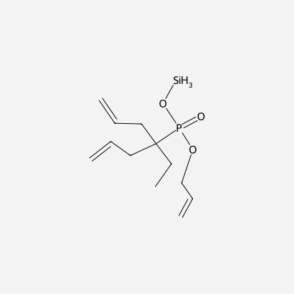 C=CCOP(=O)(O[SiH3])C(CC)(CC=C)CC=C